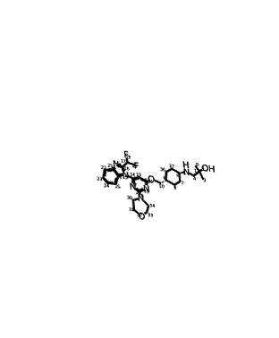 CC(C)(O)CN[C@H]1CC[C@H](COc2cc(-n3c(C(F)F)nc4ccccc43)nc(N3CCOCC3)n2)CC1